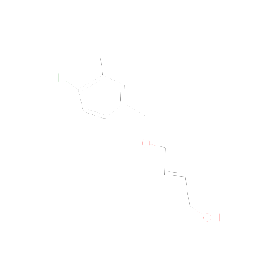 Cc1cc(COC/C=C/CO)ccc1F